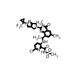 Cc1cc([C@@H](C)Nc2ccc(Cl)nc2C(=O)NS(C)(=O)=O)c2nc(N3Cc4cn(C5(C(F)(F)F)CC5)nc4C3)n(C)c(=O)c2c1